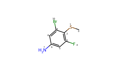 CSc1c(F)cc(N)cc1Br